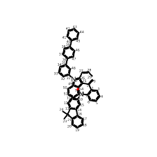 C=C(c1ccccc1N(C)c1ccc2c(c1)-c1ccccc1C2(C)C)c1c(/C=C\C)n(-c2cccc(-c3ccc(-c4ccccc4)cc3)c2)c2ccccc12